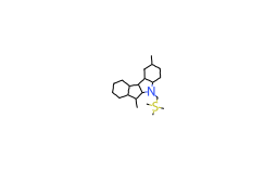 CC1CCC2C(C1)C1C3CCCCC3C(C)C1N2CS(C)(C)C